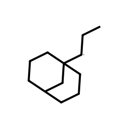 CC[CH]C12CCCC(CCC1)C2